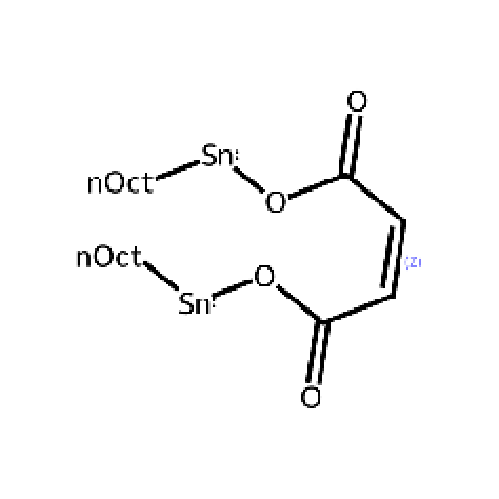 CCCCCCC[CH2][Sn][O]C(=O)/C=C\C(=O)[O][Sn][CH2]CCCCCCC